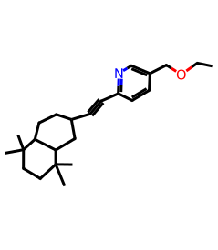 CCOCc1ccc(C#CC2CCC3C(C2)C(C)(C)CCC3(C)C)nc1